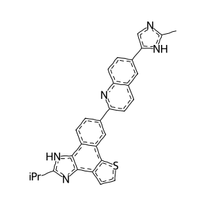 Cc1ncc(-c2ccc3nc(-c4ccc5c(c4)c4sccc4c4nc(C(C)C)[nH]c54)ccc3c2)[nH]1